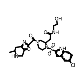 CC1Cc2nc(C(=O)N3CCN(S(=O)(=O)c4cc5cc(Cl)ccc5[nH]4)C(CC(=O)NCCO)C3)oc2CN1